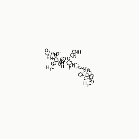 COc1ccc(CN2CCN(C3CC4(CCN(c5cc(Oc6cnc7[nH]ccc7c6)c(C(=O)NS(=O)(=O)c6cc([N+](=O)[O-])c(NCC7(F)CCOCC7)c7oc(C)cc67)cc5F)CC4)C3)C(c3ccccc3C(C)C)C2)cc1